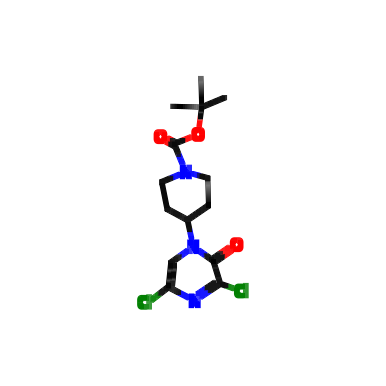 CC(C)(C)OC(=O)N1CCC(n2cc(Cl)nc(Cl)c2=O)CC1